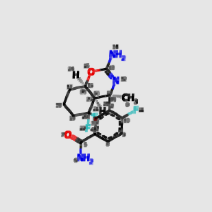 C[C@@]1(c2cc(C(N)=O)ccc2F)N=C(N)O[C@@H]2CCCC(F)(F)[C@@H]21